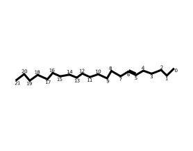 CCCCCC=CCCCCCCCCCCCCCCC